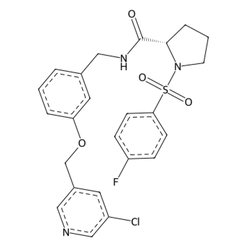 O=C(NCc1cccc(OCc2cncc(Cl)c2)c1)[C@@H]1CCCN1S(=O)(=O)c1ccc(F)cc1